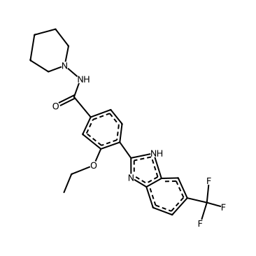 CCOc1cc(C(=O)NN2CCCCC2)ccc1-c1nc2ccc(C(F)(F)F)cc2[nH]1